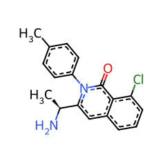 Cc1ccc(-n2c([C@H](C)N)cc3cccc(Cl)c3c2=O)cc1